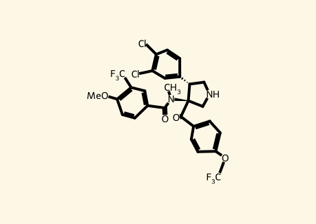 COc1ccc(C(=O)N(C)[C@]2(C(=O)c3ccc(OC(F)(F)F)cc3)CNC[C@H]2c2ccc(Cl)c(Cl)c2)cc1C(F)(F)F